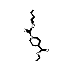 CCCCOC(=O)N1CCC(C(=O)OCC)CC1